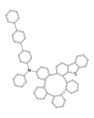 c1ccc(-c2ccc(-c3ccc(N(c4ccccc4)c4ccc5c(c4)c4ccccc4c4ccccc4c4ccccc4c4c5ccc5c6ccccc6sc54)cc3)cc2)cc1